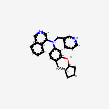 COc1ccc(N(Cc2cccnc2)c2cncc3ccccc23)cc1OC1CCCC1